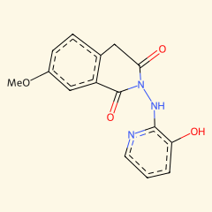 COc1ccc2c(c1)C(=O)N(Nc1ncccc1O)C(=O)C2